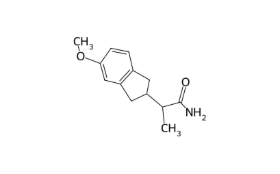 COc1ccc2c(c1)CC(C(C)C(N)=O)C2